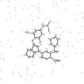 COc1cnc(-c2nn(Cc3c(F)cc(OC(F)F)cc3F)c3ccccc23)nc1Nc1ccncc1